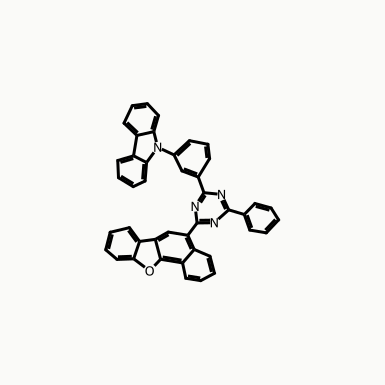 c1ccc(-c2nc(-c3cccc(-n4c5ccccc5c5ccccc54)c3)nc(-c3cc4c5ccccc5oc4c4ccccc34)n2)cc1